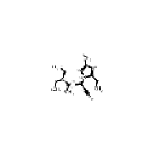 CCN(CC)CC.CCc1nc(C)cn1C(C)C#N